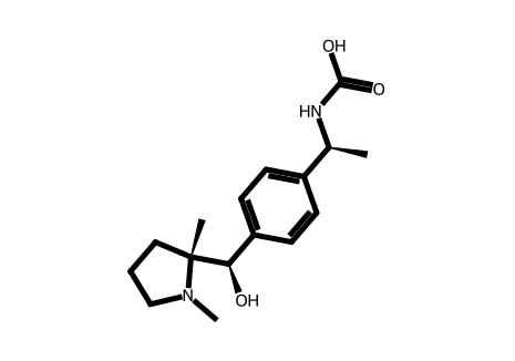 C[C@H](NC(=O)O)c1ccc([C@@H](O)[C@@]2(C)CCCN2C)cc1